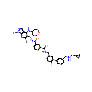 CCc1nc2c(cnn2CC)c(NC2CCOCC2)c1CNC(=O)c1cccc(C(=O)NCc2ccc(F)c(-c3cccc(CNCC4CC4)c3)c2)c1